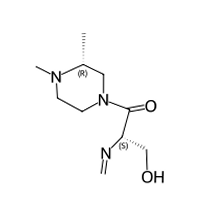 C=N[C@@H](CO)C(=O)N1CCN(C)[C@H](C)C1